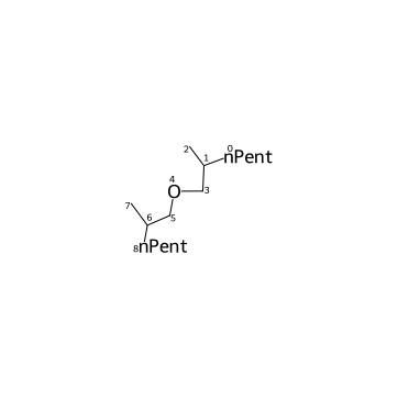 CCCCCC(C)COCC(C)CCCCC